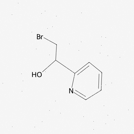 OC(CBr)c1ccccn1